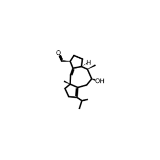 CC(C)C1=C2C[C@H](O)[C@H](C)[C@@H]3CC[C@H](C=O)/C3=C/[C@@]2(C)CC1